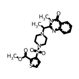 COC(=O)c1sccc1S(=O)(=O)N1CCN(C(C)c2nc3ccccc3c(=O)n2C)CC1